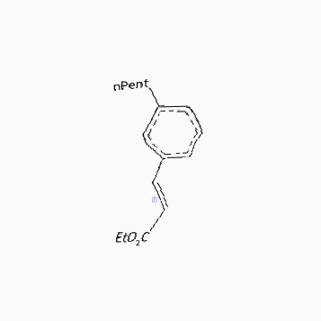 CCCCCc1cccc(/C=C/C(=O)OCC)c1